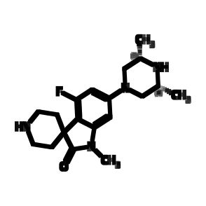 C[C@@H]1CN(c2cc(F)c3c(c2)N(C)C(=O)C32CCNCC2)C[C@H](C)N1